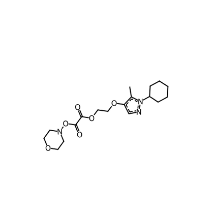 Cc1c(OCCOC(=O)C(=O)ON2CCOCC2)cnn1C1CCCCC1